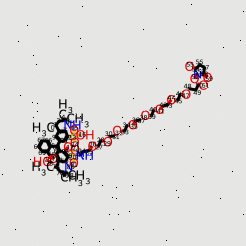 CC1CC(C)(C)Nc2c1cc1c(c2S(=O)(=O)O)Oc2c(S(=O)(=O)NCCOCCOCCOCCOCCOCCOCCOCCOCCC(=O)ON3C(=O)CCC3=O)c3c(cc2=C1c1ccccc1C(=O)O)C(C)CC(C)(C)N=3